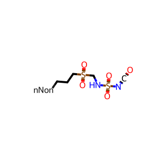 CCCCCCCCCCCCS(=O)(=O)CNS(=O)(=O)N=C=O